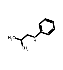 CC(C)CPc1ccccc1